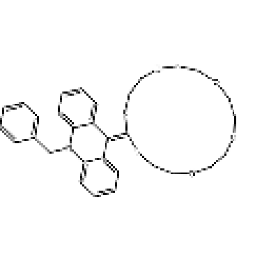 c1ccc(CN2c3ccccc3C(=C3SCCOCCOCCOCCOCCS3)c3ccccc32)cc1